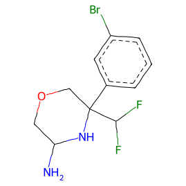 NC1COCC(c2cccc(Br)c2)(C(F)F)N1